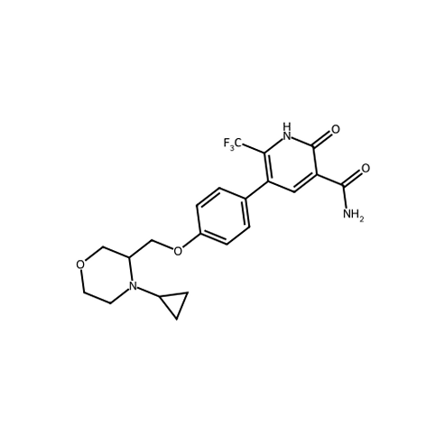 NC(=O)c1cc(-c2ccc(OCC3COCCN3C3CC3)cc2)c(C(F)(F)F)[nH]c1=O